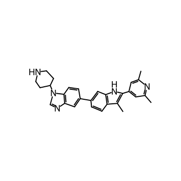 Cc1cc(-c2[nH]c3cc(-c4ccc5c(c4)ncn5C4CCNCC4)ccc3c2C)cc(C)n1